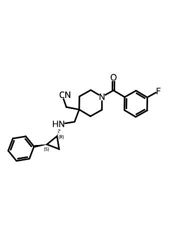 N#CCC1(CN[C@@H]2C[C@H]2c2ccccc2)CCN(C(=O)c2cccc(F)c2)CC1